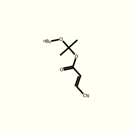 CCCCOC(C)(C)OC(=O)C=CC#N